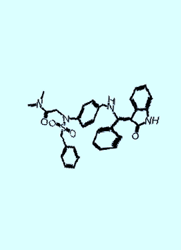 CN(C)C(=O)CN(c1ccc(NC(=C2C(=O)Nc3ccccc32)c2ccccc2)cc1)S(=O)(=O)Cc1ccccc1